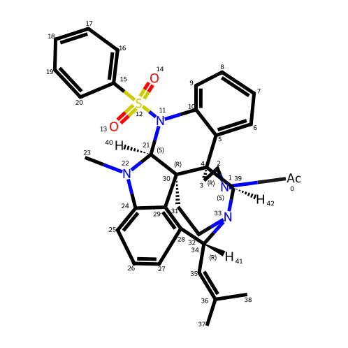 CC(=O)N1CC[C@@]23c4ccccc4N(S(=O)(=O)c4ccccc4)[C@@H]4N(C)c5cccc6c5[C@@]42CCN([C@@H]6C=C(C)C)[C@@H]13